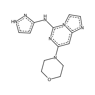 c1cn2c(Nc3cc[nH]n3)nc(N3CCOCC3)cc2n1